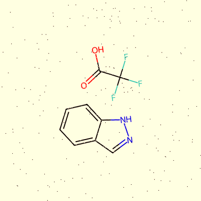 O=C(O)C(F)(F)F.c1ccc2[nH]ncc2c1